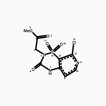 COC(=O)CN1C(=O)Nc2ccnc(Cl)c2S1(=O)=O